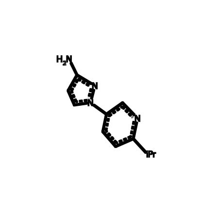 CC(C)c1ccc(-n2ccc(N)n2)cn1